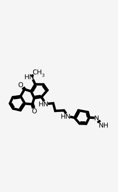 CNc1ccc(NCCCNc2ccc(N=N)cc2)c2c1C(=O)c1ccccc1C2=O